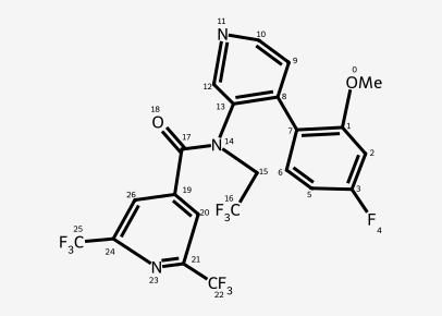 COc1cc(F)ccc1-c1ccncc1N(CC(F)(F)F)C(=O)c1cc(C(F)(F)F)nc(C(F)(F)F)c1